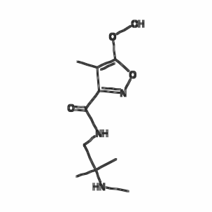 CNC(C)(C)CNC(=O)c1noc(OO)c1C